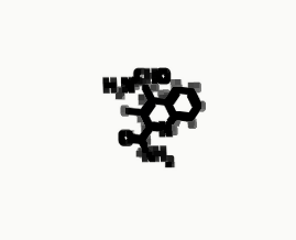 Cc1c(C(N)=O)nc2ccccc2c1C.NC=O